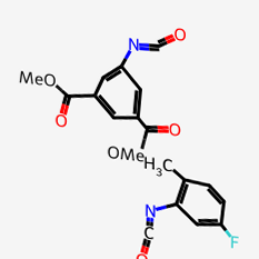 COC(=O)c1cc(N=C=O)cc(C(=O)OC)c1.Cc1ccc(F)cc1N=C=O